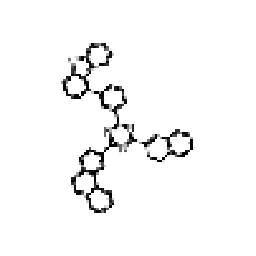 C1=C(c2nc(-c3cccc(-c4cccc5oc6ccccc6c45)c3)nc(-c3ccc4ccc5ccccc5c4c3)n2)CCc2ccccc21